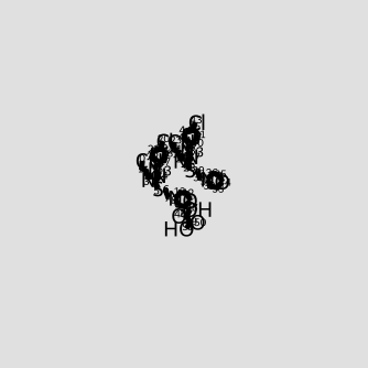 CCc1nc(SCCN2CCOCC2)nn1-c1ccc(Cl)cc1.CCc1nc(SCCN2CCOCC2)nn1-c1ccc(Cl)cc1.O=C(O)C(=O)O